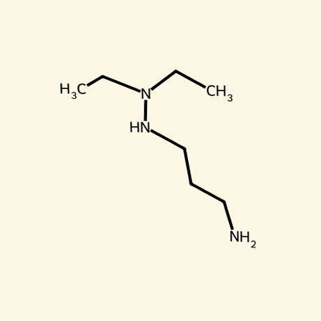 CCN(CC)NCCCN